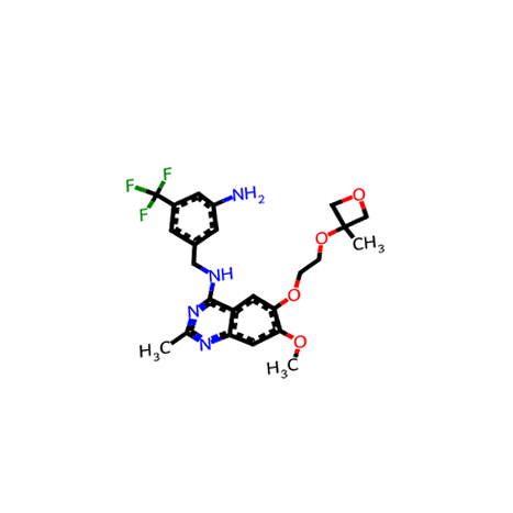 COc1cc2nc(C)nc(NCc3cc(N)cc(C(F)(F)F)c3)c2cc1OCCOC1(C)COC1